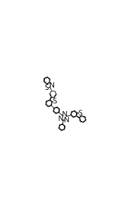 C1=c2sc3c(-c4ccc(-c5nc(-c6ccccc6)nc(-c6ccc7sc8ccccc8c7c6)n5)cc4)cccc3c2=CC(c2nc3ccccc3s2)C1